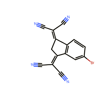 N#CC(C#N)=C1CC(=C(C#N)C#N)c2cc(Br)ccc21